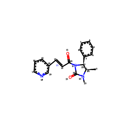 C[C@@H]1[C@H](c2ccccc2)N(C(=O)/C=C/c2cccnc2)C(=O)N1C